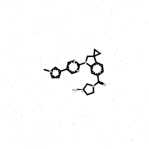 Cn1ccc(-c2cnc(N3CC4(CC4)c4ccc(C(=O)N5CC[C@@H](N)C5)cc43)nc2)c1